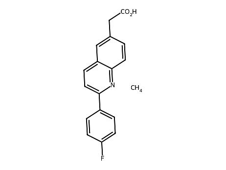 C.O=C(O)Cc1ccc2nc(-c3ccc(F)cc3)ccc2c1